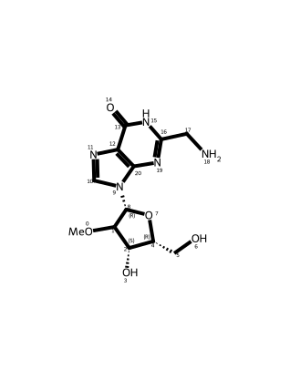 COC1[C@@H](O)[C@@H](CO)O[C@H]1n1cnc2c(=O)[nH]c(CN)nc21